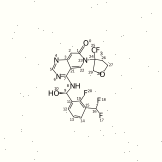 O=c1cc2ncnc(N[C@H](O)c3cccc(C(F)F)c3F)c2cn1C1(C(F)(F)F)CCOC1